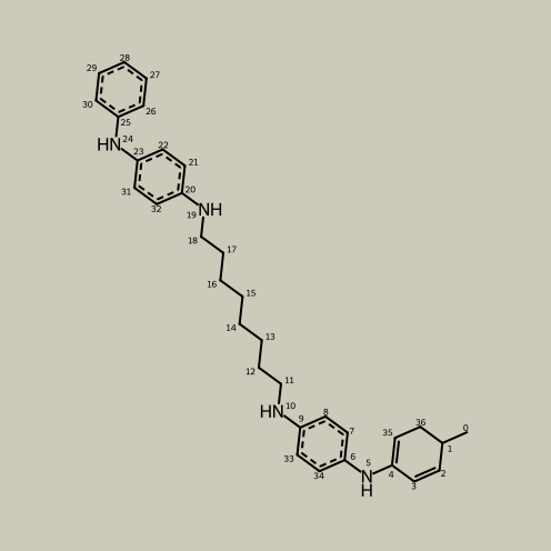 CC1C=CC(Nc2ccc(NCCCCCCCCNc3ccc(Nc4ccccc4)cc3)cc2)=CC1